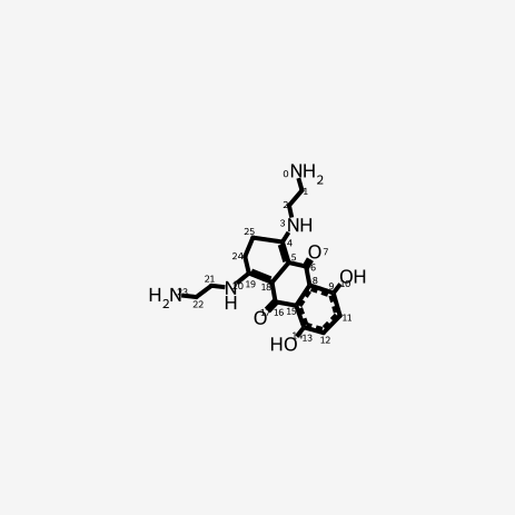 NCCNC1=C2C(=O)c3c(O)ccc(O)c3C(=O)C2=C(NCCN)CC1